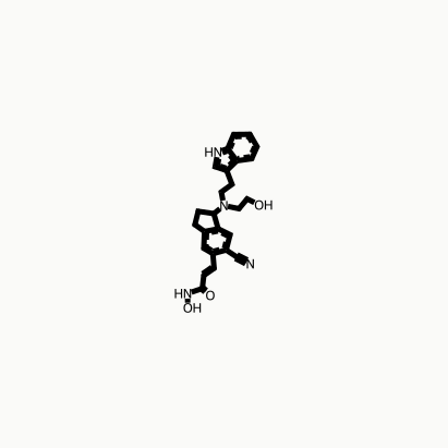 N#Cc1cc2c(cc1C=CC(=O)NO)CCC2N(CCO)CCc1c[nH]c2ccccc12